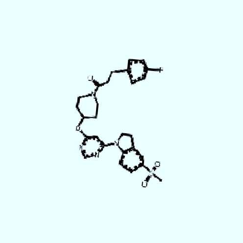 CS(=O)(=O)c1ccc2c(c1)CCN2c1cc(OC2CCN(C(=O)CCc3ccc(F)cc3)CC2)ncn1